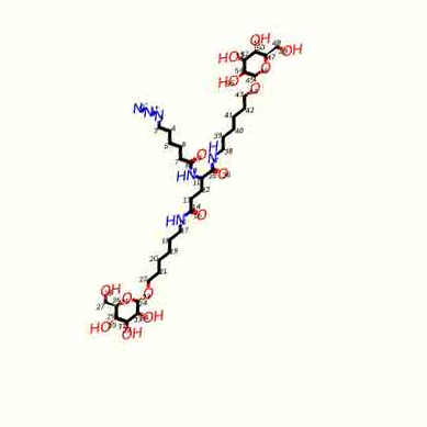 [N-]=[N+]=NCCCCCC(=O)NC(CCC(=O)NCCCCCCO[C@H]1O[C@H](CO)[C@@H](O)C(O)C1O)C(=O)NCCCCCCO[C@H]1O[C@H](CO)[C@@H](O)C(O)C1O